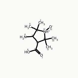 CC1(C)C(N)C(C(=O)O)C(C)(C)[NH+]1[O-]